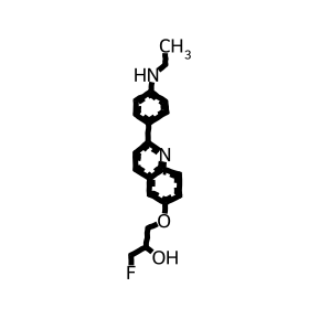 CCNc1ccc(-c2ccc3cc(OCC(O)CF)ccc3n2)cc1